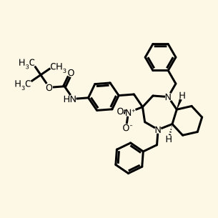 CC(C)(C)OC(=O)Nc1ccc(CC2([N+](=O)[O-])CN(Cc3ccccc3)[C@@H]3CCCC[C@H]3N(Cc3ccccc3)C2)cc1